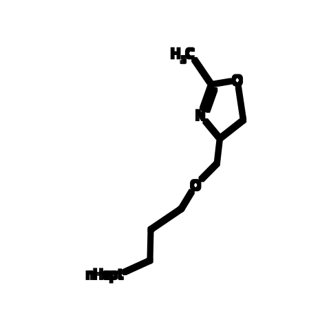 CCCCCCCCCCOCC1COC(C)=N1